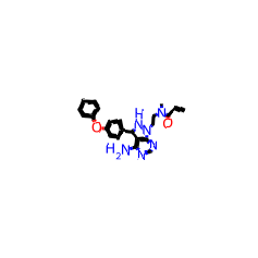 C=CC(=O)N(C)CCN1NC(c2ccc(Oc3ccccc3)cc2)c2c(N)ncnc21